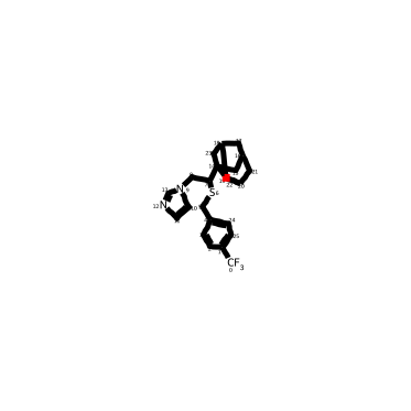 FC(F)(F)c1ccc(CSC(Cn2ccnc2)C23CC4CC(CC(C4)C2)C3)cc1